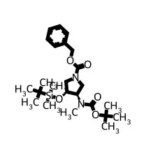 CN(C(=O)OC(C)(C)C)[C@@H]1CN(C(=O)OCc2ccccc2)C[C@@H]1O[Si](C)(C)C(C)(C)C